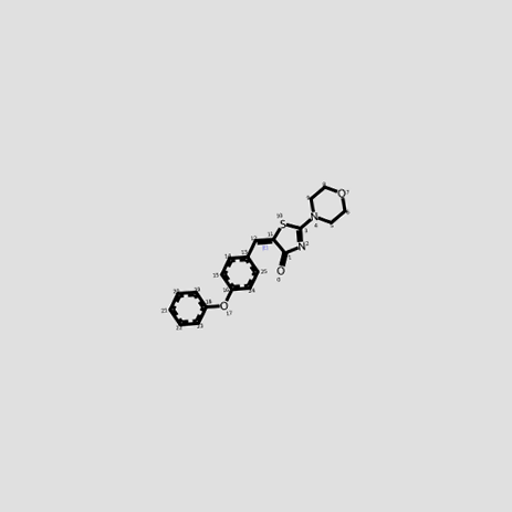 O=C1N=C(N2CCOCC2)S/C1=C/c1ccc(Oc2ccccc2)cc1